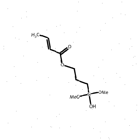 CC=CC(=O)OCCC[Si](O)(OC)OC